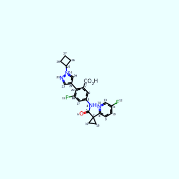 O=C(O)c1cc(NC(=O)C2(c3ccc(F)cn3)CC2)cc(F)c1-c1cnn(C2CCC2)c1